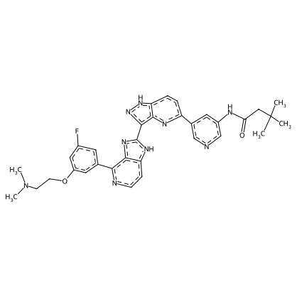 CN(C)CCOc1cc(F)cc(-c2nccc3[nH]c(-c4n[nH]c5ccc(-c6cncc(NC(=O)CC(C)(C)C)c6)nc45)nc23)c1